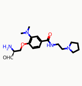 CN(C)c1cc(C(=O)NCCN2CCCC2)ccc1OC[C@H](N)C=O